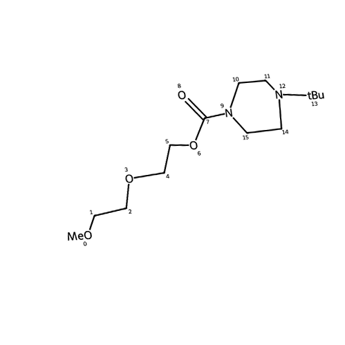 COCCOCCOC(=O)N1CCN(C(C)(C)C)CC1